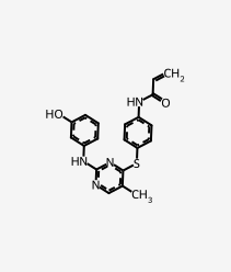 C=CC(=O)Nc1ccc(Sc2nc(Nc3cccc(O)c3)ncc2C)cc1